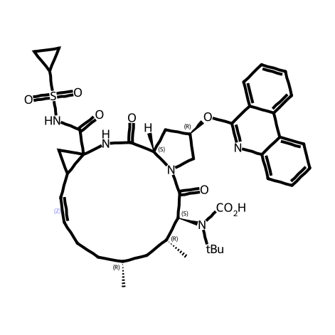 C[C@@H]1CC/C=C\C2CC2(C(=O)NS(=O)(=O)C2CC2)NC(=O)[C@@H]2C[C@@H](Oc3nc4ccccc4c4ccccc34)CN2C(=O)[C@@H](N(C(=O)O)C(C)(C)C)[C@H](C)C1